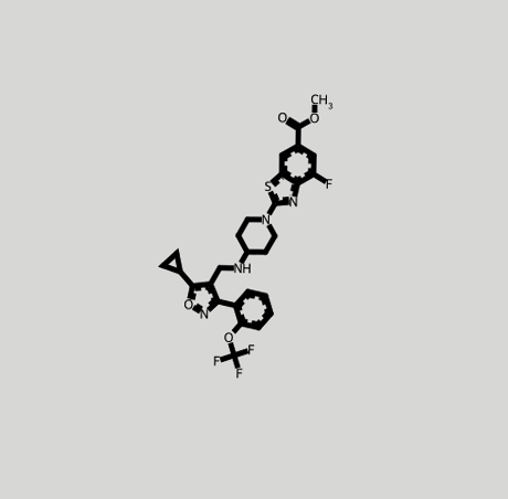 COC(=O)c1cc(F)c2nc(N3CCC(NCc4c(-c5ccccc5OC(F)(F)F)noc4C4CC4)CC3)sc2c1